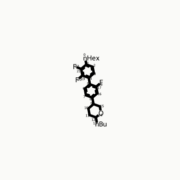 CCCCCCc1ccc(-c2ccc(C3CCC(CCCC)OC3)cc2F)c(F)c1F